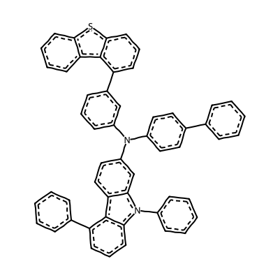 c1ccc(-c2ccc(N(c3cccc(-c4cccc5sc6ccccc6c45)c3)c3ccc4c5c(-c6ccccc6)cccc5n(-c5ccccc5)c4c3)cc2)cc1